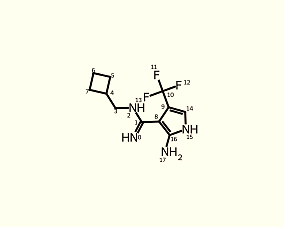 N=C(NCC1CCC1)c1c(C(F)(F)F)c[nH]c1N